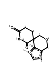 O=C1CCC2(COCc3ncoc32)C(=O)N1